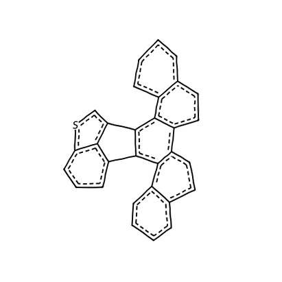 c1ccc2c(c1)ccc1c3ccc4ccccc4c3c3c(c21)-c1cccc2scc-3c12